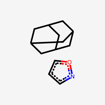 C1C2CC3CC1CC(C2)C3.c1cnoc1